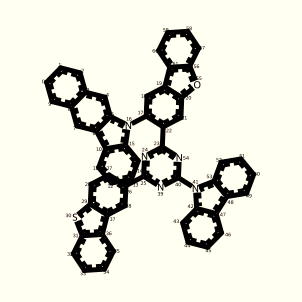 c1ccc2cc3c(cc2c1)c1ccccc1n3-c1cc2c(cc1-c1nc(-c3ccc4sc5ccccc5c4c3)nc(-n3c4ccccc4c4ccccc43)n1)oc1ccccc12